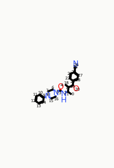 CC(NC(=O)N1CCN(c2ccccc2)CC1)C(C)C(=O)c1ccc(C#N)cc1